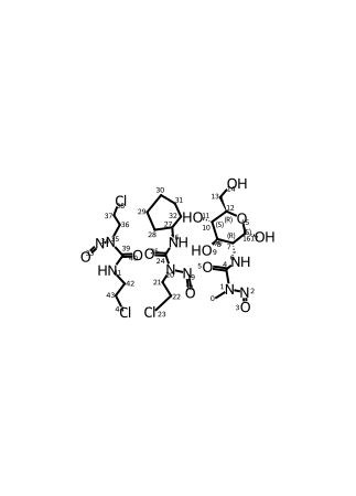 CN(N=O)C(=O)N[C@@H]1[C@@H](O)[C@H](O)[C@@H](CO)O[C@@H]1O.O=NN(CCCl)C(=O)NC1CCCCC1.O=NN(CCCl)C(=O)NCCCl